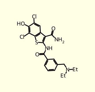 CCN(CC)Cc1cccc(C(=O)Nc2sc3c(Cl)c(O)c(Cl)cc3c2C(N)=O)c1